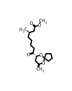 C=C1C[C@H](C(=O)CCCC[C@@H](C)CC(=O)OC)OC2(CCCC2)O1